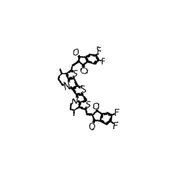 CC1CCn2c3c1c(C=C1C(=O)c4cc(F)c(F)cc4C1=O)sc3c1sc3c4sc(C=C5C(=O)c6cc(F)c(F)cc6C5=O)c5c4n(c3c12)CCC5C